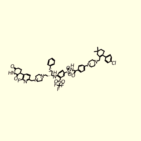 CC1(C)CCC(c2ccc(Cl)cc2)=C(CN2CCN(c3ccc(C(=O)NS(=O)(=O)c4ccc(N[C@H](CCN5CCN(Cc6ccc(C7CCC(=O)NC7=O)c(F)n6)CC5)CSc5ccccc5)c(S(=O)(=O)C(F)(F)F)c4)cc3)CC2)C1